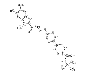 Cc1nc2sc(C(=O)NCCc3ccc(N4CCN(C(=O)OC(C)(C)C)CC4)cc3)c(N)c2cc1Br